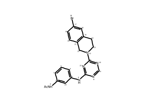 CC(=O)Nc1cccc(Nc2ncnc(N3CCc4cc(Br)ccc4C3)n2)c1